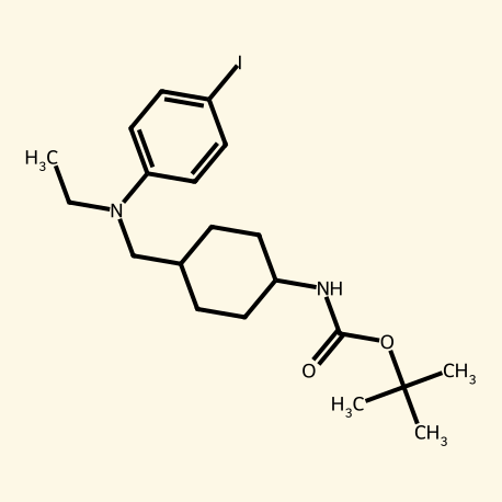 CCN(CC1CCC(NC(=O)OC(C)(C)C)CC1)c1ccc(I)cc1